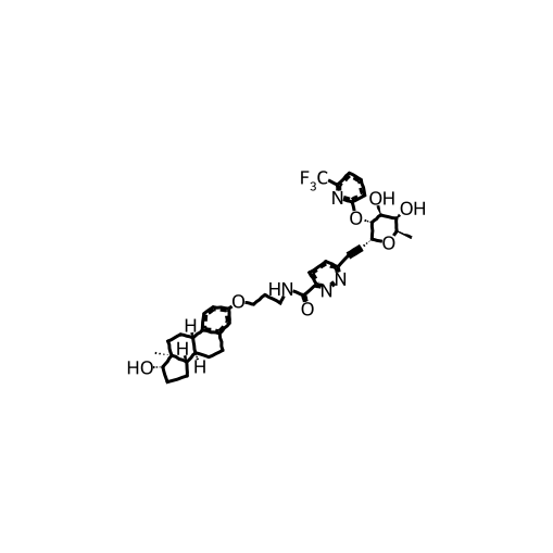 C[C@H]1O[C@H](C#Cc2ccc(C(=O)NCCCOc3ccc4c(c3)CC[C@@H]3[C@@H]4CC[C@]4(C)[C@@H](O)CC[C@@H]34)nn2)[C@H](Oc2cccc(C(F)(F)F)n2)[C@@H](O)[C@H]1O